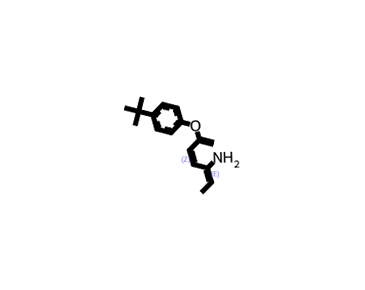 C=C(/C=C\C(N)=C/C)Oc1ccc(C(C)(C)C)cc1